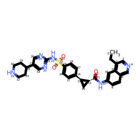 CCc1cncc2ccc(NC(=O)[C@@H]3C[C@H]3c3ccc(S(=O)(=O)Nc4ncc(C5CCNCC5)cn4)cc3)cc12